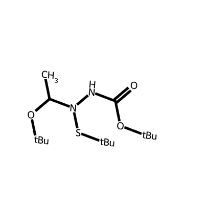 CC(OC(C)(C)C)N(NC(=O)OC(C)(C)C)SC(C)(C)C